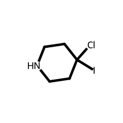 ClC1(I)CCNCC1